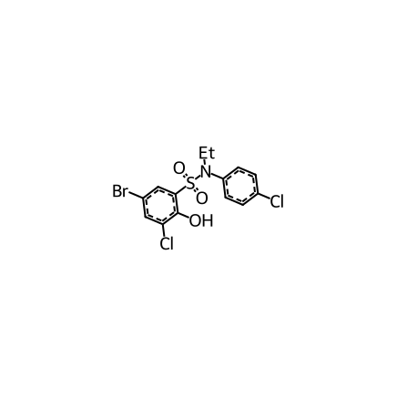 CCN(c1ccc(Cl)cc1)S(=O)(=O)c1cc(Br)cc(Cl)c1O